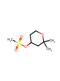 CC1(C)CC(OS(C)(=O)=O)CCO1